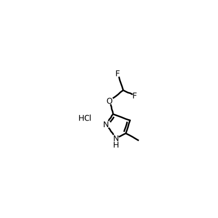 Cc1cc(OC(F)F)n[nH]1.Cl